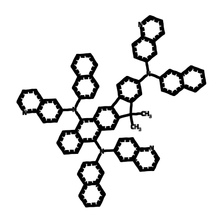 CC1(C)c2cc(N(c3ccc4ccccc4c3)c3ccc4ncccc4c3)ccc2-c2cc3c(N(c4ccc5ccccc5c4)c4ccc5ncccc5c4)c4ccccc4c(N(c4ccc5ccccc5c4)c4ccc5ncccc5c4)c3cc21